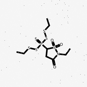 CCSSP(=S)(SSCC)C1CC(=O)N(CC)S1(=O)=O